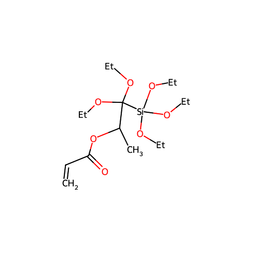 C=CC(=O)OC(C)C(OCC)(OCC)[Si](OCC)(OCC)OCC